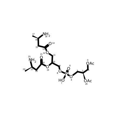 CC(=O)OC[C@H](COP(=O)(O)OCC(COC(=O)C[C@@H](C)N)OC(=O)C[C@@H](C)N)OC(C)=O